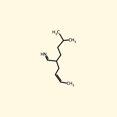 C/C=C\CC(C=N)CCC(C)C